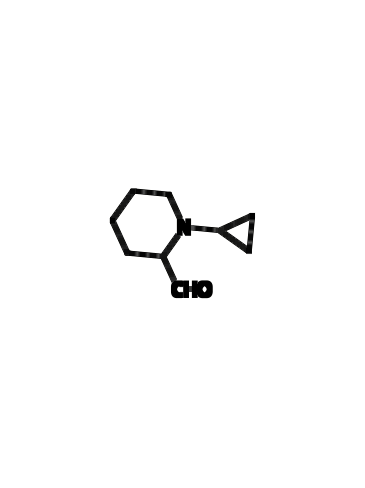 O=CC1CCCCN1C1CC1